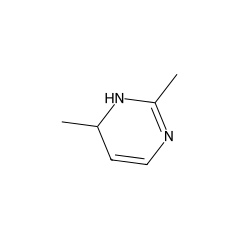 CC1=NC=CC(C)N1